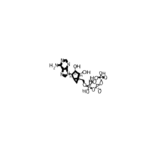 Nc1ncnc2c1ncn2[C@@H]1C2C[C@@]2(COP(=O)(O)OP(=O)(O)OP(=O)(O)O)[C@@H](O)[C@H]1O